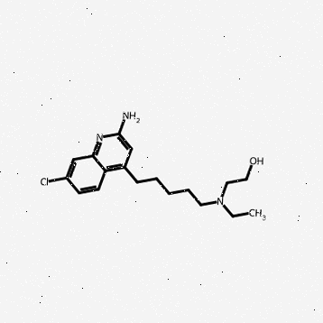 CCN(CCO)CCCCCc1cc(N)nc2cc(Cl)ccc12